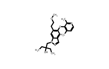 CCC(O)(CC)Cn1ncc2cc(Oc3c(C)ccnc3C)c(CCOC)cc21